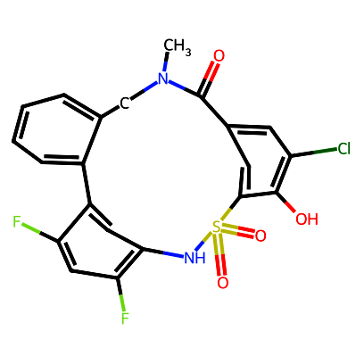 CN1Cc2ccccc2-c2cc(c(F)cc2F)NS(=O)(=O)c2cc(cc(Cl)c2O)C1=O